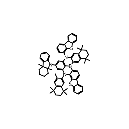 Cc1cc2c(cc1N1c3cc(N4c5ccccc5C5(C)CCCCC45C)cc4c3B(c3cc5c(cc3N4c3cccc4c3sc3ccccc34)C(C)(C)CCC5(C)C)c3ccc4c(sc5ccccc54)c31)C(C)(C)CCC2(C)C